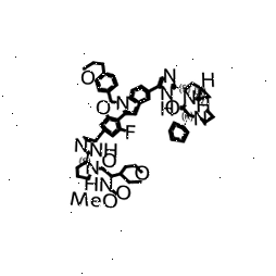 COC(=O)NC(C(=O)N1CCC[C@H]1c1ncc(-c2cc(F)c3c(c2)OC(c2ccc4c(c2)OCCC4)n2c-3cc3cc(-c4cnc([C@@H]5C[C@H]6C[C@H]6N5C(=O)[C@@H](c5ccccc5)N5CCC5)[nH]4)ccc32)[nH]1)C1CCOCC1